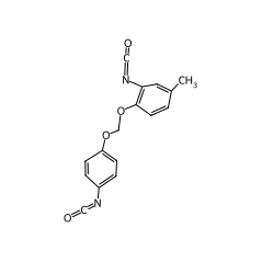 Cc1ccc(OCOc2ccc(N=C=O)cc2)c(N=C=O)c1